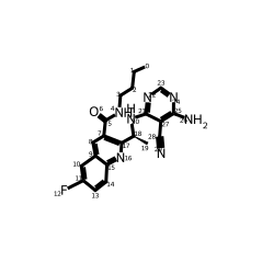 CCCCNC(=O)c1cc2cc(F)ccc2nc1[C@H](C)Nc1ncnc(N)c1C#N